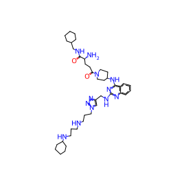 N[C@@H](CCC(=O)N1CCC(Nc2nc(NCc3cn(CCCNCCCNC4CCCCC4)nn3)nc3ccccc23)CC1)C(=O)NCC1CCCCC1